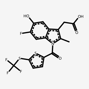 Cc1c(CC(=O)O)c2cc(O)c(F)cc2n1C(=O)c1ccc(SC(F)(F)F)s1